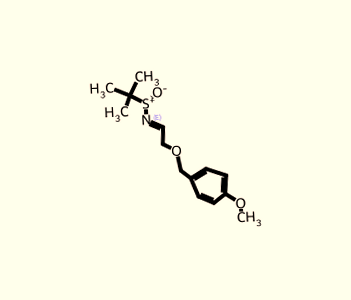 COc1ccc(COC/C=N/[S+]([O-])C(C)(C)C)cc1